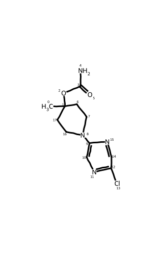 CC1(OC(N)=O)CCN(c2cnc(Cl)cn2)CC1